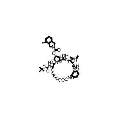 C=C[C@@H]1C[C@@]12NC(=O)[C@@H]1C[C@@H](OC(=O)N3Cc4cccc(F)c4C3)CN1C(=O)[C@@H](NC(=O)OC(C)(C)C)CCCCCCCNc1ccccc1S(=O)(=O)NC2=O